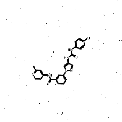 Cc1cc(NC(=O)c2cccc(-n3cc(NC(=O)Nc4ccc(Cl)cc4)cn3)c2)ccn1